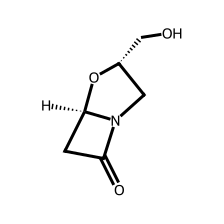 O=C1C[C@H]2O[C@H](CO)CN12